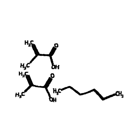 C=C(C)C(=O)O.C=C(C)C(=O)O.CCCCCC